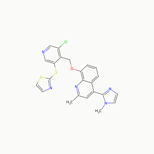 Cc1cc(-c2nccn2C)c2cccc(OCc3c(Cl)cncc3Sc3nccs3)c2n1